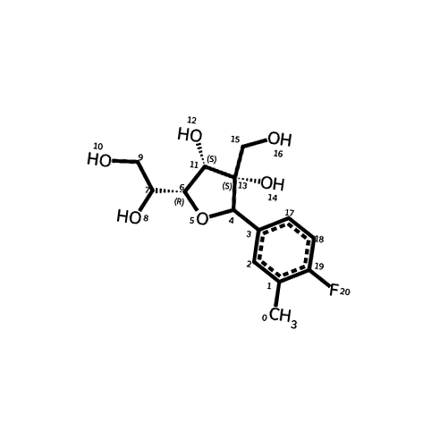 Cc1cc(C2O[C@H](C(O)CO)[C@H](O)[C@@]2(O)CO)ccc1F